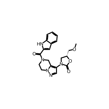 COC[C@H]1CN(c2cnn3c2CN(C(=O)c2cc4ccccc4[nH]2)CC3)C(=O)O1